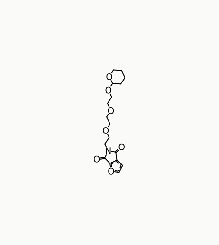 O=C1c2ccoc2C(=O)N1CCOCCOCCOC1CCCCO1